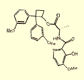 COc1cccc(C2(c3cccc(OC)c3)CCC2OC(=O)[C@H](C)NC(=O)c2nccc(OC)c2O)c1